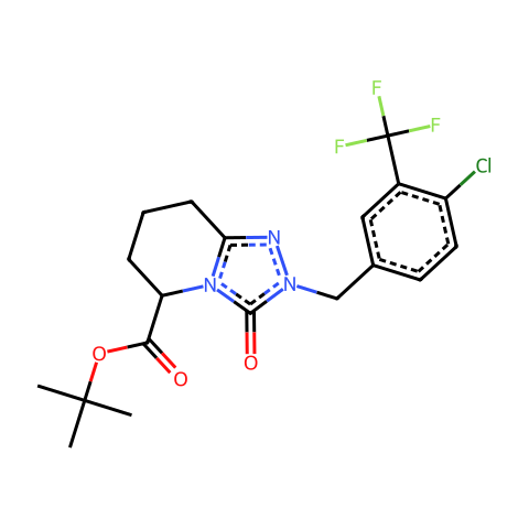 CC(C)(C)OC(=O)C1CCCc2nn(Cc3ccc(Cl)c(C(F)(F)F)c3)c(=O)n21